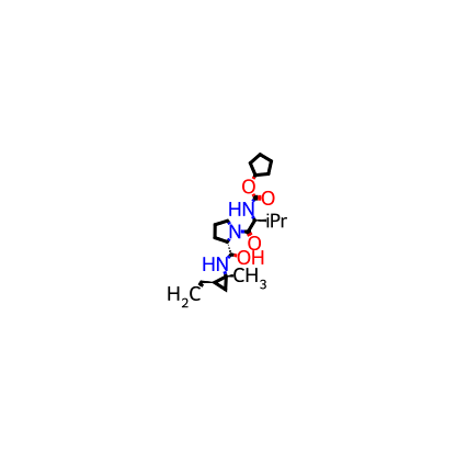 C=C[C@@H]1C[C@@]1(C)NC(O)[C@@H]1CCCN1C(=O)[C@@H](NC(=O)OC1CCCC1)C(C)C